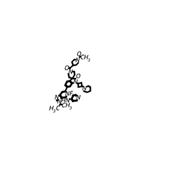 CC(=O)N1CCC(C(=O)N2CCC3(CC2)C(=O)N(C2CC(N4CCCCC4)C2)c2cc(-c4cc5ncn(C(C)C)c5c(Nc5ccncc5F)n4)ccc23)CC1